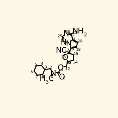 CN(CC1CCCCC1)C(=O)OC[C@@H]1CC[C@](C#N)(c2ccc3c(N)ncnn23)O1